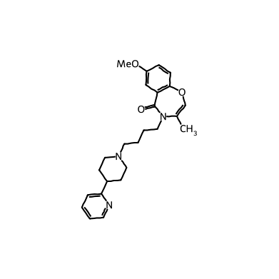 COc1ccc2c(c1)C(=O)N(CCCCN1CCC(c3ccccn3)CC1)C(C)=CO2